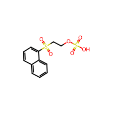 O=S(=O)(O)OCCS(=O)(=O)c1cccc2ccccc12